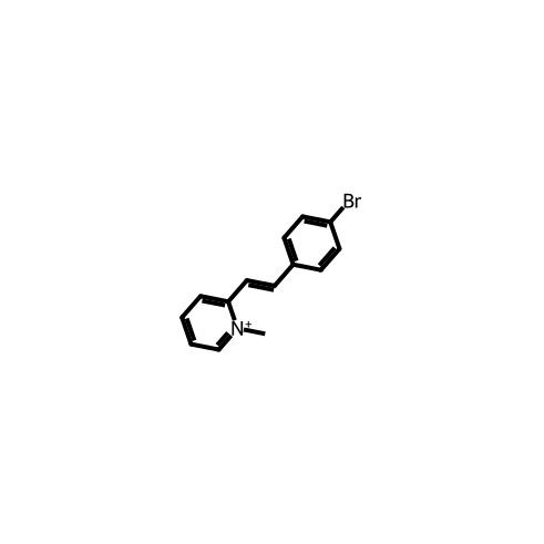 C[n+]1ccccc1/C=C/c1ccc(Br)cc1